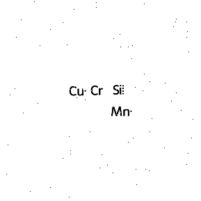 [Cr].[Cu].[Mn].[Si]